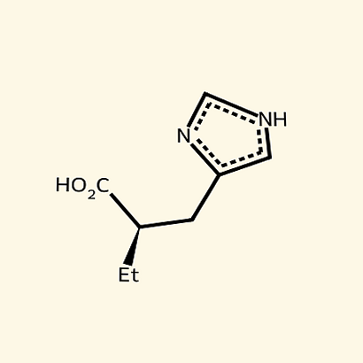 CC[C@H](Cc1c[nH]cn1)C(=O)O